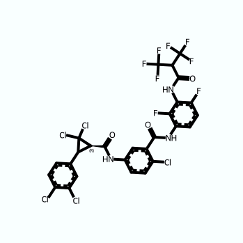 O=C(Nc1ccc(F)c(NC(=O)C(C(F)(F)F)C(F)(F)F)c1F)c1cc(NC(=O)[C@H]2C(c3ccc(Cl)c(Cl)c3)C2(Cl)Cl)ccc1Cl